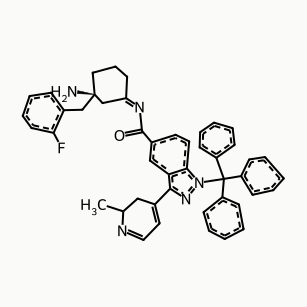 CC1CC(c2nn(C(c3ccccc3)(c3ccccc3)c3ccccc3)c3ccc(C(=O)/N=C4/CCC[C@@](N)(Cc5ccccc5F)C4)cc23)=CC=N1